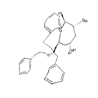 O[C@@H]1C[C@H](O)[C@@H](C(Cc2ccccc2)(Cc2ccccc2)OCc2ccccc2)O[C@H]1S